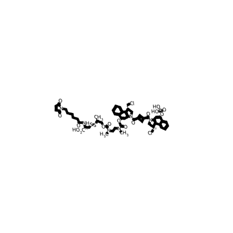 C[C@H](COC(=O)N(C)CCN(C)C(=O)Oc1cc2c(c3ccccc13)[C@H](CCl)CN2C(=O)C12CC(C(=O)N3C[C@@H](CCl)c4c3cc(OP(=O)(O)O)c3ccccc43)(C1)C2)SSC[C@H](NC(=O)CCCCCN1C(=O)C=CC1=O)C(=O)O